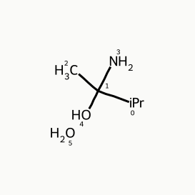 CC(C)C(C)(N)O.O